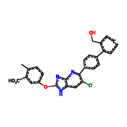 Cc1ccc(Oc2nc3nc(-c4ccc(-c5ccccc5CO)cc4)c(Cl)cc3[nH]2)cc1C(=O)O